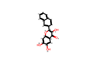 O=c1c(O)c(-c2ccc3ccccc3c2)oc2cc(O)c(O)cc12